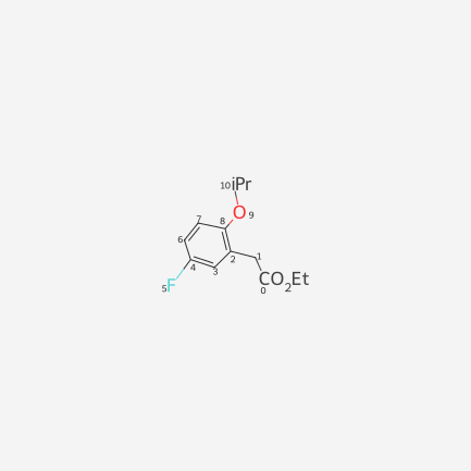 CCOC(=O)Cc1cc(F)ccc1OC(C)C